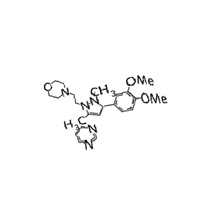 COc1ccc(C2C=C(C)N(CCN3CCOCC3)N2C)cc1OC.c1cncnc1